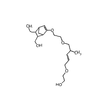 CC(/C=C/COCCO)COCCOC1=CC2CC1C(CO)C2CO